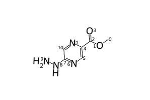 COC(=O)c1cnc(NN)cn1